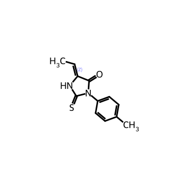 C/C=C1\NC(=S)N(c2ccc(C)cc2)C1=O